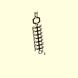 FC(F)(F)C(F)(F)C(F)(F)C(F)(F)C(F)(F)C(F)(F)C(F)(F)C(F)(F)N1CCNCC1